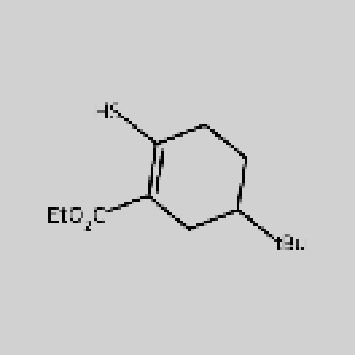 CCOC(=O)C1=C(S)CCC(C(C)(C)C)C1